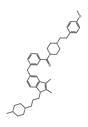 COc1ccc(CCN2CCN(C(=O)c3cccc(Cc4ccc5c(c4)c(C)c(C)n5CCCN4CCN(C)CC4)c3)CC2)cc1